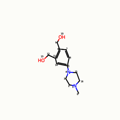 CN1CCN(c2ccc(CO)c(CO)c2)CC1